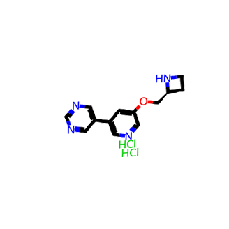 Cl.Cl.c1ncc(-c2cncc(OC[C@@H]3CCN3)c2)cn1